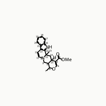 COC(=O)C1=COC(C)C2CN3C=Cc4c([nH]c5ccccc45)C3(C)C[C@H]12